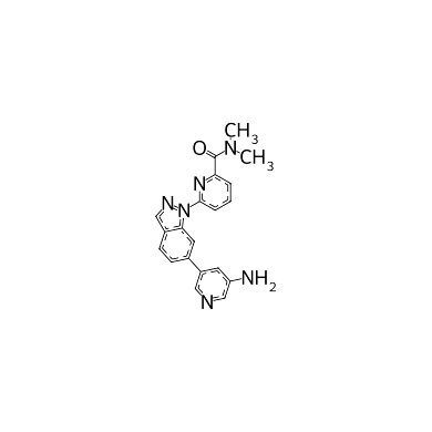 CN(C)C(=O)c1cccc(-n2ncc3ccc(-c4cncc(N)c4)cc32)n1